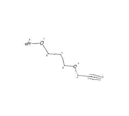 C#CCOCCCO[CH]CC